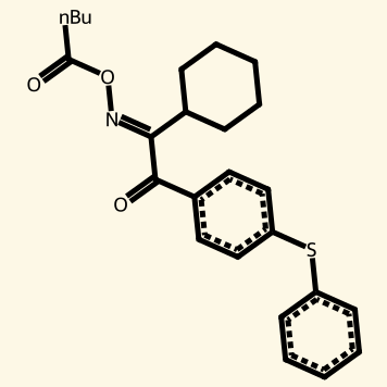 CCCCC(=O)O/N=C(/C(=O)c1ccc(Sc2ccccc2)cc1)C1CCCCC1